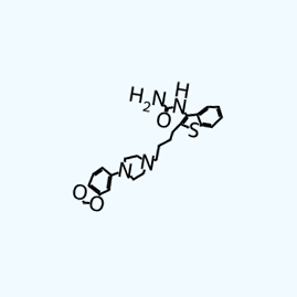 NC(=O)Nc1c(CCCCN2CCN(c3ccc4c(c3)OCO4)CC2)sc2ccccc12